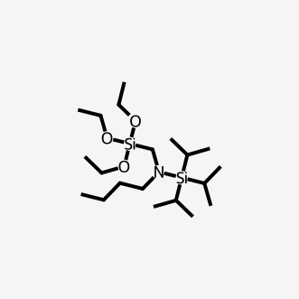 CCCCN(C[Si](OCC)(OCC)OCC)[Si](C(C)C)(C(C)C)C(C)C